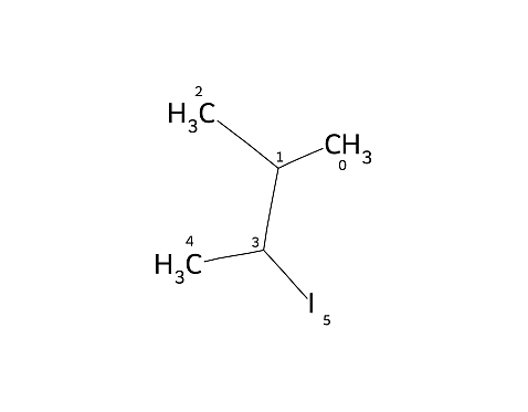 CC(C)C(C)I